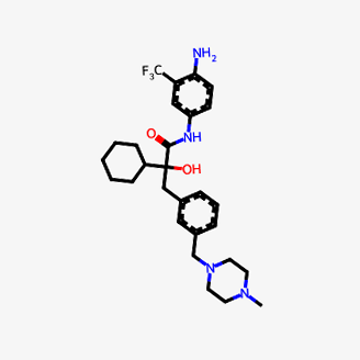 CN1CCN(Cc2cccc(CC(O)(C(=O)Nc3ccc(N)c(C(F)(F)F)c3)C3CCCCC3)c2)CC1